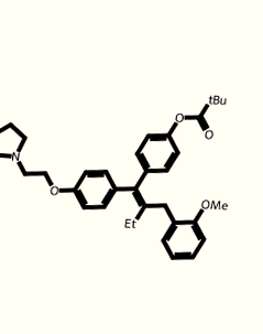 CC/C(Cc1ccccc1OC)=C(\c1ccc(OCCN2CCCC2)cc1)c1ccc(OC(=O)C(C)(C)C)cc1